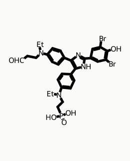 CCN(CCC=O)c1ccc(-c2nc(-c3cc(Br)c(O)c(Br)c3)[nH]c2-c2ccc(N(CC)CCP(=O)(O)O)cc2)cc1